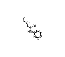 CCOC[C@H](O)Nc1ncncn1